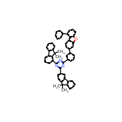 CC1(C)c2ccccc2-c2cc(-c3nc(-c4cccc(-c5ccc6c(c5)oc5cccc(-c7ccccc7)c56)c4)nc(-c4cccc5c4C(C)(C)c4ccccc4-5)n3)ccc21